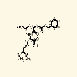 COC(COC[C@H](NC(=O)[C@H](CCO)NC(=O)OCc1ccccc1)C(=O)O)OC